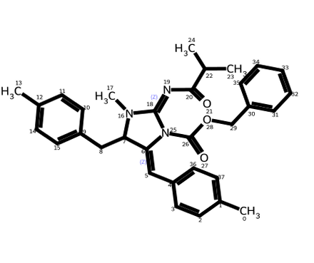 Cc1ccc(/C=C2/C(Cc3ccc(C)cc3)N(C)/C(=N/C(=O)C(C)C)N2C(=O)OCc2ccccc2)cc1